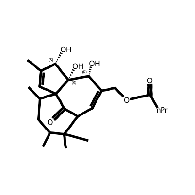 CCCC(=O)OCC1=CC2C(=O)C3(C=C(C)[C@H](O)[C@@]3(O)[C@@H]1O)C(C)CC(C)C2(C)C